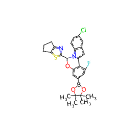 CC1(C)OB(c2cc(F)c3c(c2)OC(c2nc4c(s2)CCC4)n2c-3cc3cc(Cl)ccc32)OC1(C)C